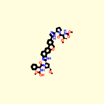 COC[C@H]1C[C@@H](c2nc3ccc4cc5c(cc4c3[nH]2)OCc2cc(-c3cnc([C@@H]4CCCN4C(=O)C(NC(=O)OC)[C@@H](C)OC)[nH]3)ccc2-5)N(C(=O)[C@H](NC(O)OC)c2ccccc2)C1